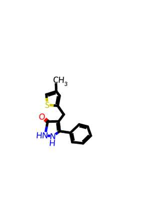 Cc1csc(Cc2c(-c3ccccc3)[nH][nH]c2=O)c1